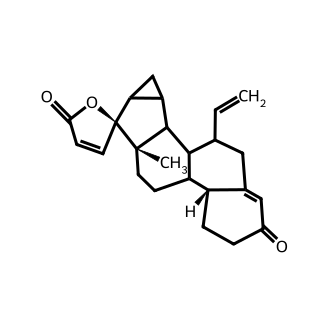 C=CC1CC2=CC(=O)CC[C@@H]2C2CC[C@@]3(C)C(C4CC4[C@@]34C=CC(=O)O4)C12